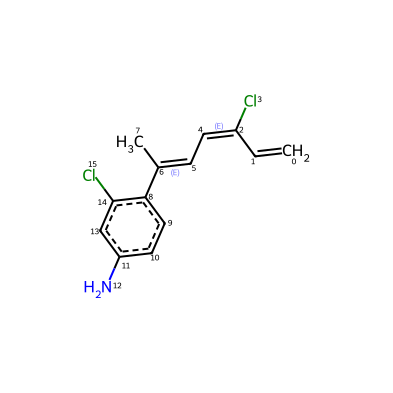 C=C/C(Cl)=C\C=C(/C)c1ccc(N)cc1Cl